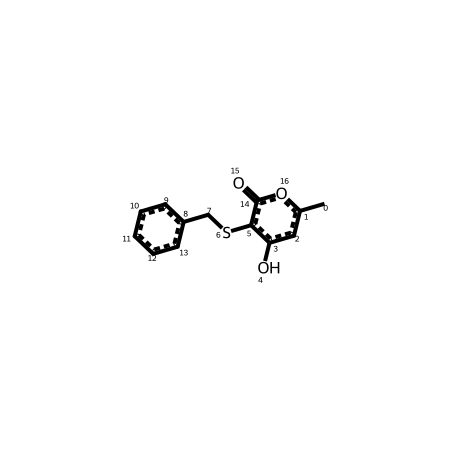 Cc1cc(O)c(SCc2ccccc2)c(=O)o1